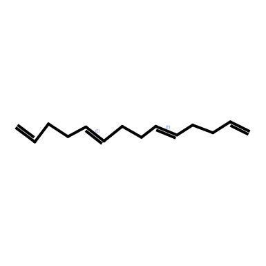 C=CCC/C=C/CC/C=C/CCC=C